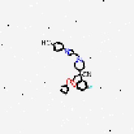 N#Cc1ccc(N2CC(CN3CCC([C@](C#N)(CC(=O)OC4CCCC4)c4cccc(F)c4)CC3)C2)cc1